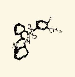 Cc1cc(S(=O)(=O)Nc2ccccc2-c2nc3ccccc3[nH]2)ccc1F